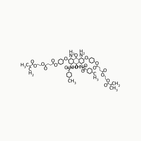 C=C(C)C(=O)OCCOC(=O)CCC(=O)Oc1ccc(Oc2cc(N[S+]([O-])c3ccc(C)cc3)c3c(c2N)C(=O)c2c(N)c(Oc4ccc(OC(=O)CCC(=O)OCCOC(=O)C(=C)C)cc4)cc(NS(=O)(=O)c4ccc(C)cc4)c2C3=O)cc1